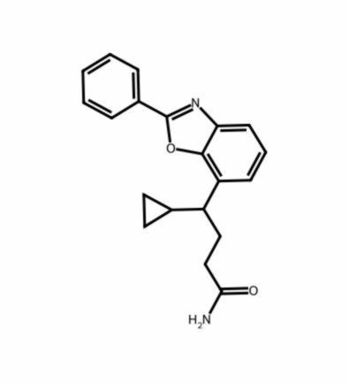 NC(=O)CCC(c1cccc2nc(-c3ccccc3)oc12)C1CC1